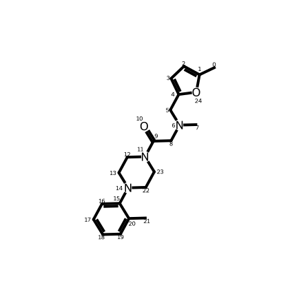 Cc1ccc(CN(C)CC(=O)N2CCN(c3ccccc3C)CC2)o1